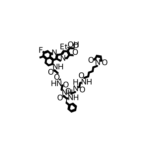 CC[C@@]1(O)C(=O)OCC2=C1C=C1c3nc4cc(F)c(C)c5c4c(c3CN1C2)C(NC(=O)COCNC(=O)CNC(=O)[C@H](Cc1ccccc1)NC(=O)CNC(=O)CNC(=O)CCCCCN1C(=O)C=CC1=O)CC5